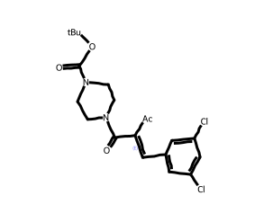 CC(=O)/C(=C\c1cc(Cl)cc(Cl)c1)C(=O)N1CCN(C(=O)OC(C)(C)C)CC1